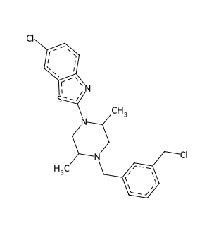 CC1CN(c2nc3ccc(Cl)cc3s2)C(C)CN1Cc1cccc(CCl)c1